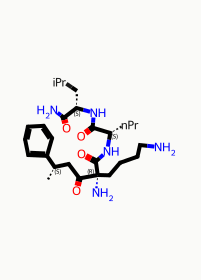 CCC[C@H](NC(=O)[C@@](N)(CCCCN)C(=O)C[C@H](C)c1ccccc1)C(=O)N[C@@H](CC(C)C)C(N)=O